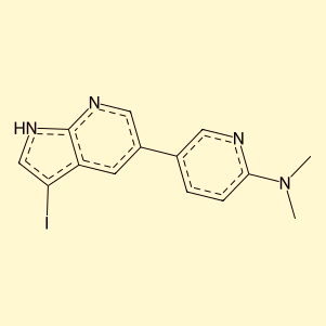 CN(C)c1ccc(-c2cnc3[nH]cc(I)c3c2)cn1